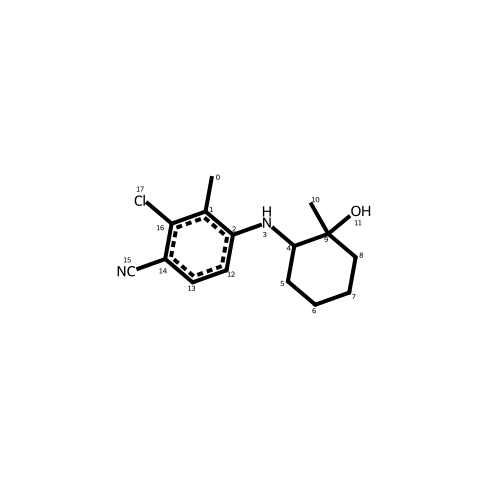 Cc1c(NC2CCCCC2(C)O)ccc(C#N)c1Cl